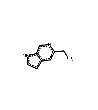 CCc1cc2cc[nH]c2cn1